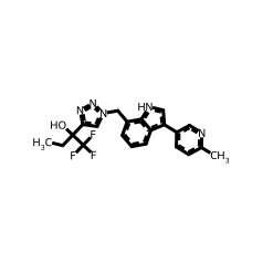 CCC(O)(c1cn(Cc2cccc3c(-c4ccc(C)nc4)c[nH]c23)nn1)C(F)(F)F